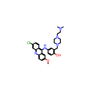 COc1ccc2nc3cc(Cl)ccc3c(Nc3ccc(O)c(CN4CCN(CCN(C)C)CC4)c3)c2c1